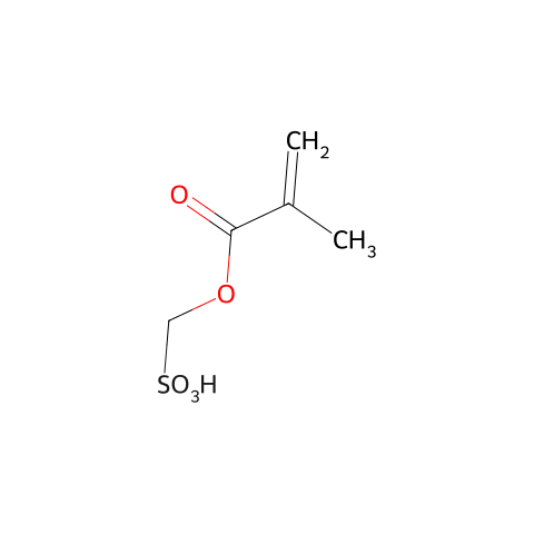 C=C(C)C(=O)OCS(=O)(=O)O